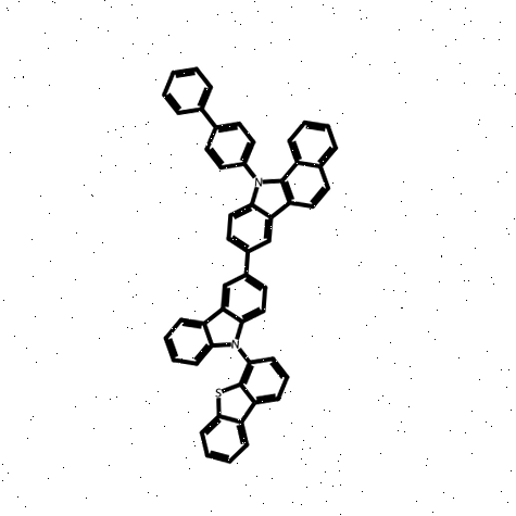 c1ccc(-c2ccc(-n3c4ccc(-c5ccc6c(c5)c5ccccc5n6-c5cccc6c5sc5ccccc56)cc4c4ccc5ccccc5c43)cc2)cc1